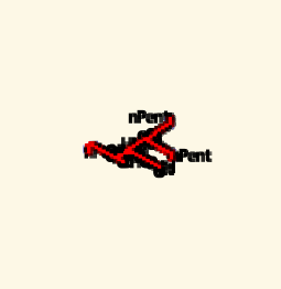 CCCCC/C=C\C/C=C\CCCCCCCC(=O)OCCN(CCOC=O)C(=O)CCC(=O)N[C@@H](CCCCNC(=O)CCC(=O)N(CCOC(=O)CCCCCCC/C=C\C/C=C\CCCCC)CCOC(=O)CCCCCCC/C=C\C/C=C\CCCCC)C(=O)NCCCOCCOCCOCCCNC(=O)CC